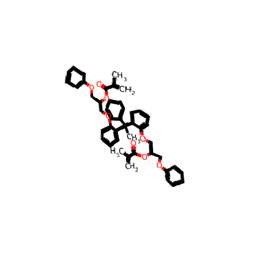 C=C(C)C(=O)OC(COc1ccccc1)COc1ccccc1C(C)(c1ccccc1)c1ccccc1OCC(COc1ccccc1)OC(=O)C(=C)C